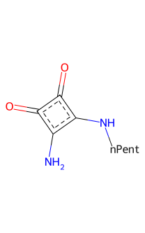 CCCCCNc1c(N)c(=O)c1=O